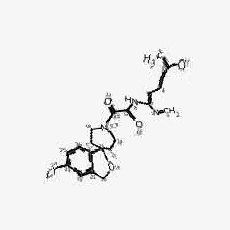 C=N/C(=C\C=C(/C)Cl)NC(=O)C(=O)N1CCC2(CC1)OCc1cc(Cl)ccc12